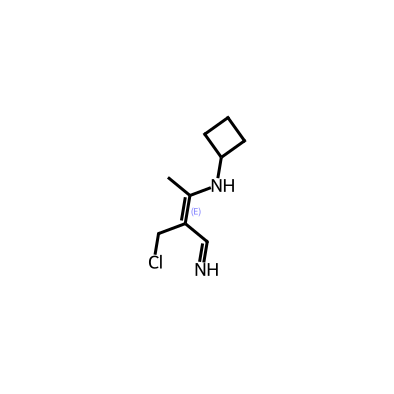 C/C(NC1CCC1)=C(/C=N)CCl